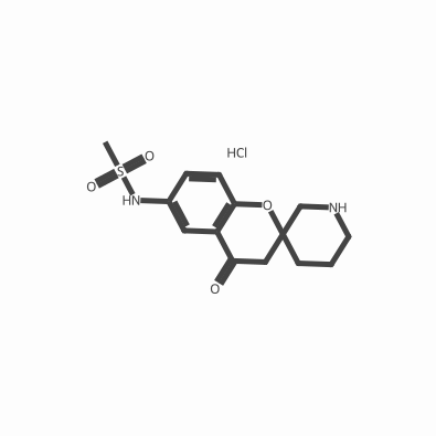 CS(=O)(=O)Nc1ccc2c(c1)C(=O)CC1(CCCNC1)O2.Cl